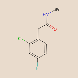 CC(C)NC(=O)Cc1ccc(F)cc1Cl